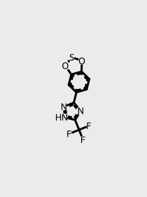 FC(F)(F)c1nc(-c2ccc3c(c2)OSO3)n[nH]1